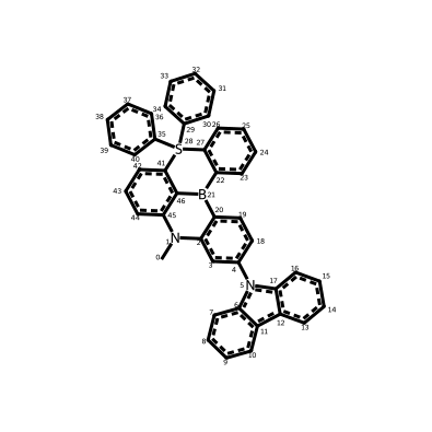 CN1c2cc(-n3c4ccccc4c4ccccc43)ccc2B2c3ccccc3S(c3ccccc3)(c3ccccc3)c3cccc1c32